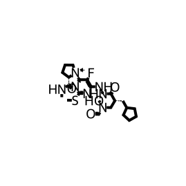 CNC(=O)[C@@H]1CCC[N+]1(C)c1nc(SC)nc(NNC(=O)[C@H](CC2CCCC2)CN(O)C=O)c1F